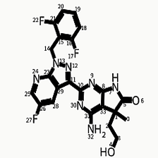 CC1(CCO)C(=O)Nc2nc(-c3nn(Cc4c(F)cccc4F)c4ncc(F)cc34)nc(N)c21